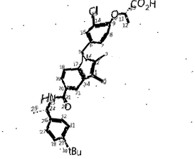 Cc1c(C)n(Cc2ccc(O[C@@H](C)C(=O)O)c(Cl)c2)c2ccc(C(=O)N[C@@H](C)c3ccc(C(C)(C)C)cc3)cc12